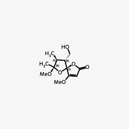 COC1=CC(=O)O[C@]12O[C@@](C)(OC)[C@@H](C)[C@@H]2CO